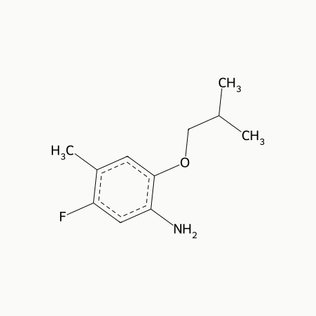 Cc1cc(OCC(C)C)c(N)cc1F